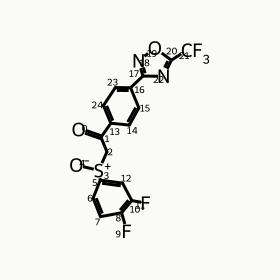 O=C(C[S+]([O-])c1ccc(F)c(F)c1)c1ccc(-c2noc(C(F)(F)F)n2)cc1